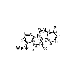 CNc1ncccc1[C@@H](C)N(C)c1ncnc2c(F)cccc12